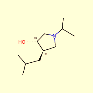 CC(C)C[C@@H]1CN(C(C)C)C[C@H]1O